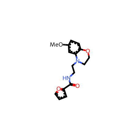 COc1ccc2c(c1)N(CCNC(=O)c1ccco1)CCO2